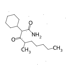 CCCCCC(C)C(=O)C(C(N)=O)C1CCCCC1